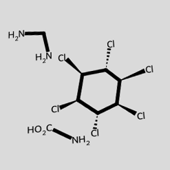 Cl[C@H]1[C@H](Cl)[C@@H](Cl)[C@@H](Cl)[C@H](Cl)[C@H]1Cl.NC(=O)O.NCN